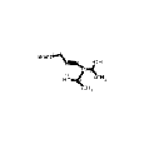 CCCCCCC=CN(C(C)O)C(C)O